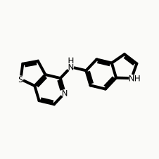 c1cc2sccc2c(Nc2ccc3[nH]ccc3c2)n1